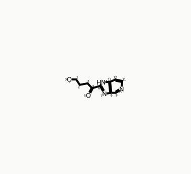 [O]CCCC(=O)c1nc2cnccc2[nH]1